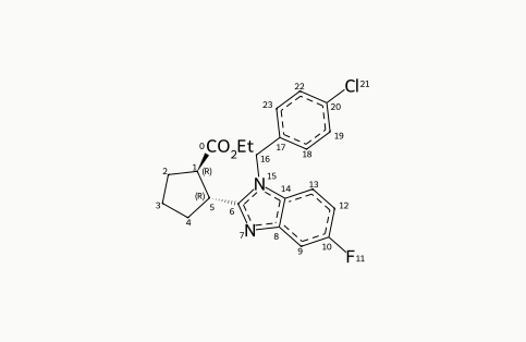 CCOC(=O)[C@@H]1CCC[C@H]1c1nc2cc(F)ccc2n1Cc1ccc(Cl)cc1